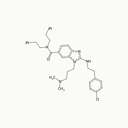 CC(C)CCN(CCC(C)C)C(=O)c1ccc2nc(NCCc3ccc(Cl)cc3)n(CCCN(C)C)c2c1